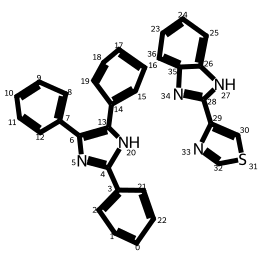 c1ccc(-c2nc(-c3ccccc3)c(-c3ccccc3)[nH]2)cc1.c1ccc2[nH]c(-c3cscn3)nc2c1